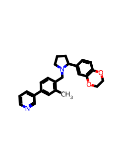 Cc1cc(-c2cccnc2)ccc1CN1CCCC1c1ccc2c(c1)OCCO2